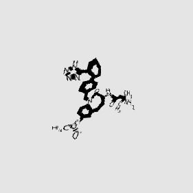 C[S+]([O-])c1ccc2c(c1)CC[C@@H](NC(=O)CC(C)(C)N)C(=O)N2Cc1ccc(-c2ccccc2-c2nnn[nH]2)cc1